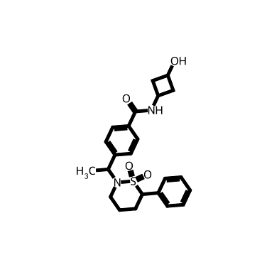 CC(c1ccc(C(=O)NC2CC(O)C2)cc1)N1CCCC(c2ccccc2)S1(=O)=O